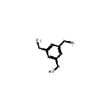 O=NCc1cc(CO)cc(CO)c1